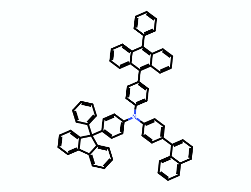 c1ccc(-c2c3ccccc3c(-c3ccc(N(c4ccc(-c5cccc6ccccc56)cc4)c4ccc(C5(c6ccccc6)c6ccccc6-c6ccccc65)cc4)cc3)c3ccccc23)cc1